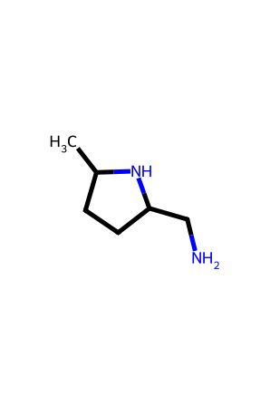 CC1CCC(CN)N1